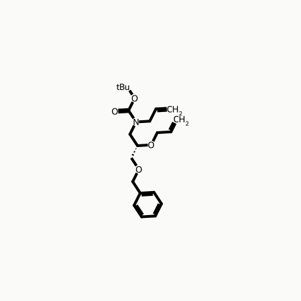 C=CCO[C@H](COCc1ccccc1)CN(CC=C)C(=O)OC(C)(C)C